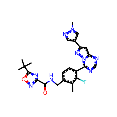 Cc1c(CNC(=O)c2noc(C(C)(C)C)n2)ccc(-c2ncnc3cc(-c4cnn(C)c4)nn23)c1F